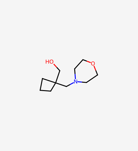 OCC1(CN2CCOCC2)CCC1